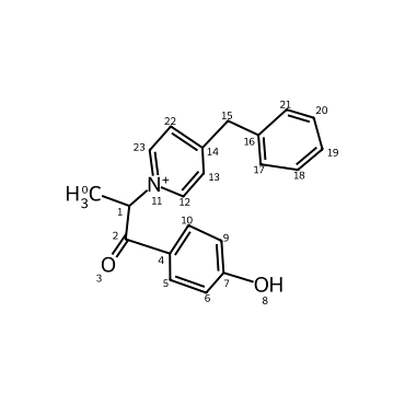 CC(C(=O)c1ccc(O)cc1)[n+]1ccc(Cc2ccccc2)cc1